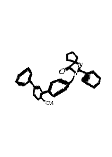 N#Cc1ccc(-c2ccccc2)cc1-c1ccc(CN2C(=O)C3(CCCC3)N=C2c2ccccc2)cc1